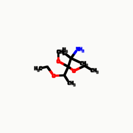 CCOC(C)C(OC)(OCC)C(C)(C)N